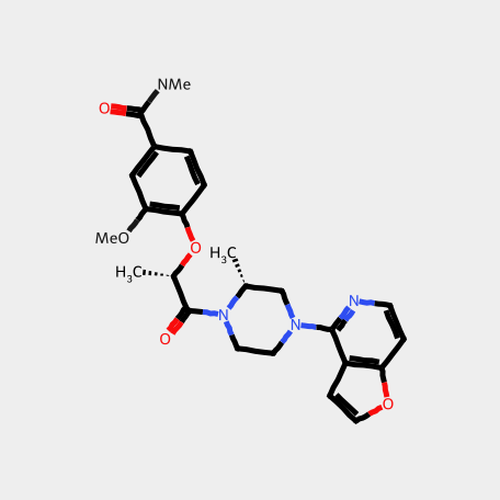 CNC(=O)c1ccc(O[C@@H](C)C(=O)N2CCN(c3nccc4occc34)C[C@H]2C)c(OC)c1